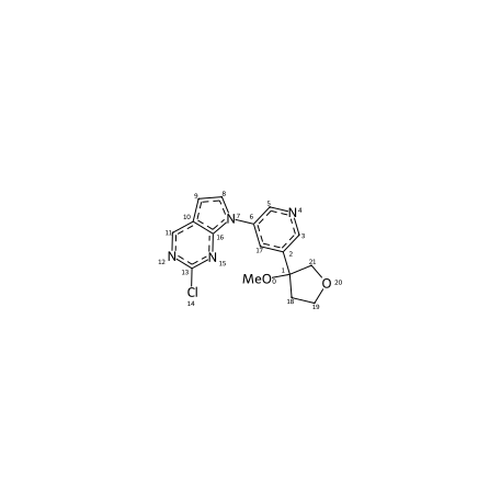 COC1(c2cncc(-n3ccc4cnc(Cl)nc43)c2)CCOC1